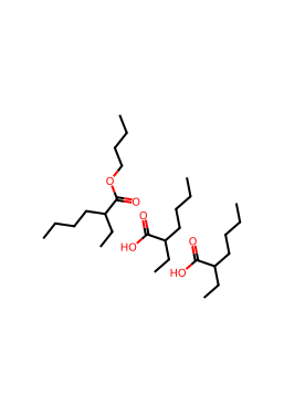 CCCCC(CC)C(=O)O.CCCCC(CC)C(=O)O.CCCCOC(=O)C(CC)CCCC